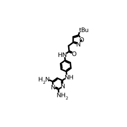 CC(C)(C)c1cc(CC(=O)Nc2ccc(Nc3cc(N)nc(N)n3)cc2)no1